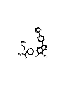 COCCO[C@]1(C(N)=O)CC[C@@H](c2nc3c(-c4ccc(-c5ncc[nH]5)nc4)cnn3c(N)c2C(C)=O)CC1